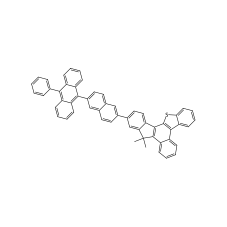 CC1(C)c2cc(-c3ccc4cc(-c5c6ccccc6c(-c6ccccc6)c6ccccc56)ccc4c3)ccc2-c2c1c1ccccc1c1c2sc2ccccc21